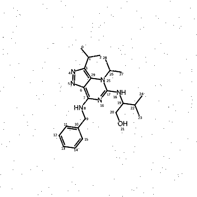 CC(C)c1nnc2c(NCc3ccccc3)nc(NC(CO)C(C)C)n(C(C)C)c1-2